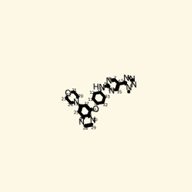 Cn1nnnc1-c1cnc(N[C@H]2CC[C@@H](Oc3cc(N4CCOCC4)cc4nccnc34)CC2)nc1